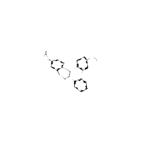 COc1ccc([C@@H]2c3ccc(OC)cc3CC[C@@H]2c2ccccc2)cc1